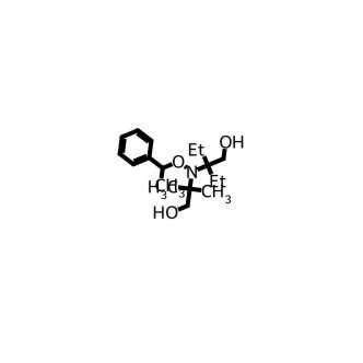 CCC(CC)(CO)N(OC(C)c1ccccc1)C(C)(C)CO